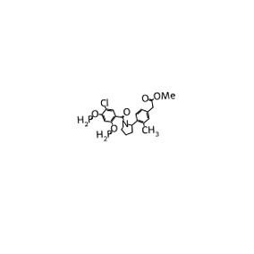 COC(=O)Cc1ccc(C2CCCN2C(=O)c2cc(Cl)c(OP)cc2OP)c(C)c1